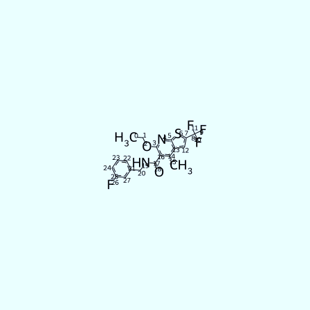 CCOc1nc2sc(C(F)(F)F)cc2c(C)c1C(=O)NCc1cccc(F)c1